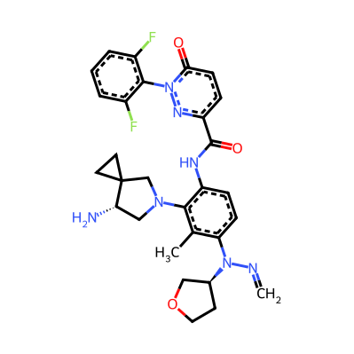 C=NN(c1ccc(NC(=O)c2ccc(=O)n(-c3c(F)cccc3F)n2)c(N2C[C@H](N)C3(CC3)C2)c1C)[C@H]1CCOC1